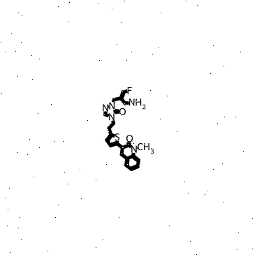 CN1C(=O)C(c2ccc(CCn3cnn(C/C(=C/F)CN)c3=O)s2)Cc2ccccc21